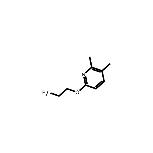 Cc1ccc(OCCC(F)(F)F)nc1C